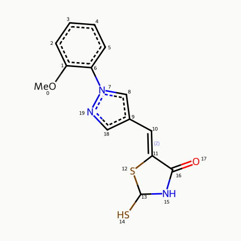 COc1ccccc1-n1cc(/C=C2\SC(S)NC2=O)cn1